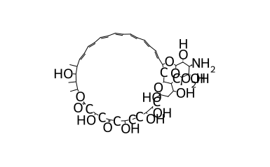 CC1/C=C/C=C/C=C/C=C/C=C/C=C/C=C/C(OC2O[C@H](C)[C@@H](O)[C@H](N)[C@H]2O)CC2OC(O)(CC(O)C(O)CCC(O)CC(=O)CC(O)CC(=O)OC(C)C(C)C1O)CC(O)C2C(=O)O